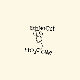 CCCCCCCCNC(=O)C(CC)Oc1ccc(C[C@H](OC)C(=O)O)cc1